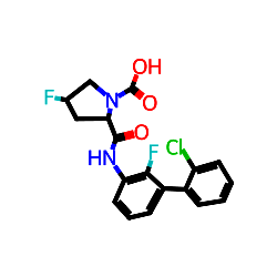 O=C(Nc1cccc(-c2ccccc2Cl)c1F)C1CC(F)CN1C(=O)O